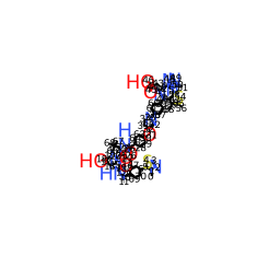 Cc1ncsc1-c1ccc([C@H](C)NC(=O)[C@@H]2C[C@@H](O)CN2C(=O)[C@@H](NC(=O)c2ccc(OC3CCN(c4ccc(C5=N[C@@H](CC(=O)O)c6nnc(C)n6-c6sc(C)c(C)c65)cc4)C3)cc2)C(C)(C)C)cc1